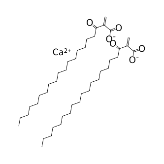 C=C(C(=O)[O-])C(=O)CCCCCCCCCCCCCCCCC.C=C(C(=O)[O-])C(=O)CCCCCCCCCCCCCCCCC.[Ca+2]